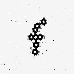 c1ccc(-c2ccc3ccc(-c4c5ccccc5c(-c5ccc6c(c5)oc5ccccc56)c5ccccc45)cc3c2)cc1